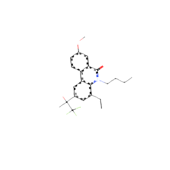 CCCCn1c(=O)c2cc(OC)ccc2c2cc(C(C)(O)C(F)(F)F)cc(CC)c21